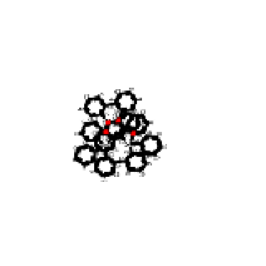 c1ccc([Si]2(c3ccccc3)c3ccccc3-c3ccccc3[Si](c3ccccc3)(c3ccccc3)c3cc(-c4ccccc4-c4ccccc4-n4c5ccccc5c5ccccc54)ccc32)cc1